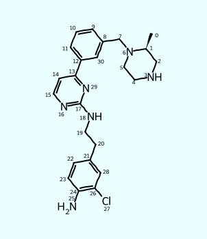 C[C@H]1CNCCN1Cc1cccc(-c2ccnc(NCCc3ccc(N)c(Cl)c3)n2)c1